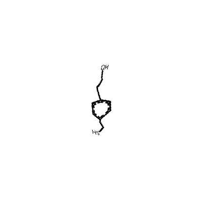 OCCc1ccc(CS)cc1